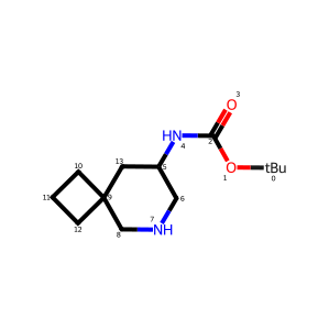 CC(C)(C)OC(=O)NC1CNCC2(CCC2)C1